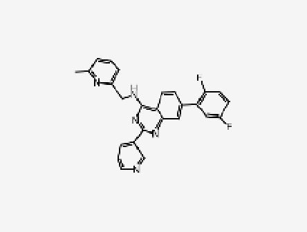 Cc1cccc(CNc2nc(-c3cccnc3)nc3cc(-c4cc(F)ccc4F)ccc23)n1